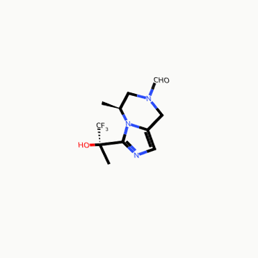 C[C@H]1CN(C=O)Cc2cnc([C@@](C)(O)C(F)(F)F)n21